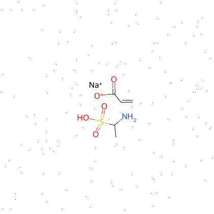 C=CC(=O)[O-].CC(N)S(=O)(=O)O.[Na+]